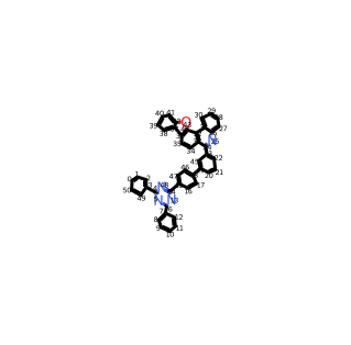 c1ccc(-c2nc(-c3ccccc3)nc(-c3ccc(-c4cccc(-c5nc6ccccc6c6c5ccc5c7ccccc7oc56)c4)cc3)n2)cc1